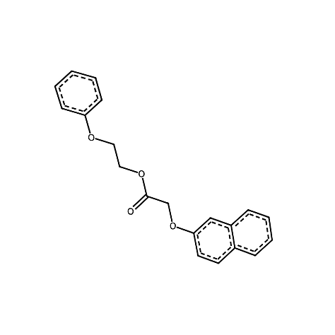 O=C(COc1ccc2ccccc2c1)OCCOc1ccccc1